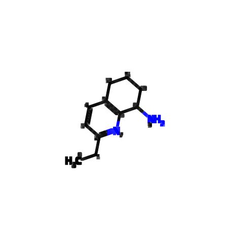 CCc1ccc2c(n1)C(N)CCC2